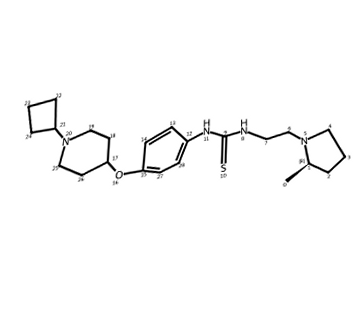 C[C@@H]1CCCN1CCNC(=S)Nc1ccc(OC2CCN(C3CCC3)CC2)cc1